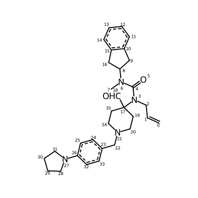 C=CCN(C(=O)N(C)C1Cc2ccccc2C1)C1(C=O)CCN(Cc2ccc(N3CCCC3)cc2)CC1